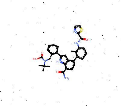 Cc1c(NC(=O)c2nccs2)cccc1-c1ccc(C(N)=O)c2[nH]c(-c3ccccc3CN(C(=O)O)C(C)(C)C)cc12